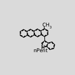 CCCCCn1cc(-c2ccc(C)c3cc4cc5ccccc5cc4cc23)c2ccccc21